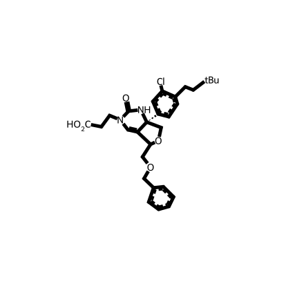 CC(C)(C)CCc1ccc([C@]23COC(COCc4ccccc4)C2=CN(CCC(=O)O)C(=O)N3)cc1Cl